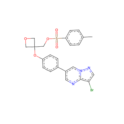 Cc1ccc(S(=O)(=O)OCC2(Oc3ccc(-c4cnc5c(Br)cnn5c4)cc3)COC2)cc1